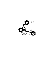 O=C([O-])c1cccc2c1c(CCN[C@@H]1CN3CCC1CC3)nn2Cc1ccccc1.[Li+]